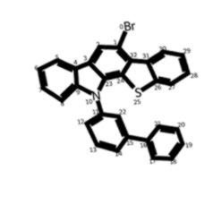 Brc1cc2c3ccccc3n(-c3cccc(-c4ccccc4)c3)c2c2sc3ccccc3c12